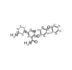 NC(=O)c1cc(N2CCCC(N)C2)cnc1Oc1ccc(Oc2ccccc2)cc1